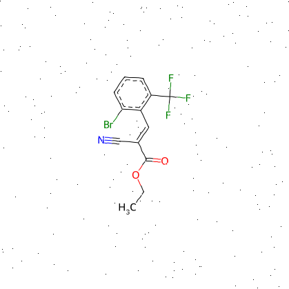 CCOC(=O)C(C#N)=Cc1c(Br)cccc1C(F)(F)F